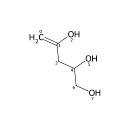 C=C(O)CC(O)CO